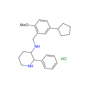 COc1ccc(C2CCCC2)cc1CNC1CCCNC1c1ccccc1.Cl